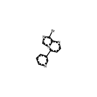 Brc1ncn2c(-c3cccnc3)ccnc12